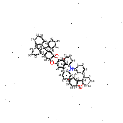 C1=C(c2cccc(N(c3ccccc3)c3ccccc3-c3ccc4c(c3)Oc3cc5c(cc3O4)C3(c4ccccc4-c4ccccc43)c3ccccc3-5)c2)c2c(oc3ccccc23)CC1